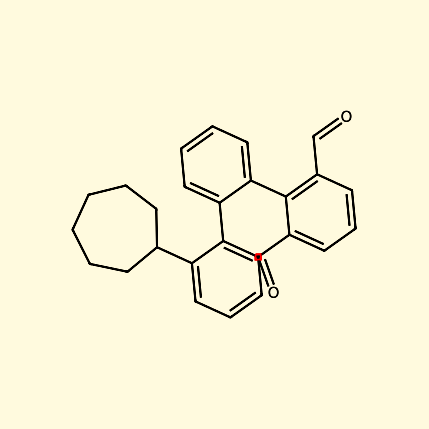 O=Cc1cccc(C=O)c1-c1ccccc1-c1ccccc1C1CCCCCC1